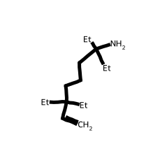 C=CC(CC)(CC)CCCC(N)(CC)CC